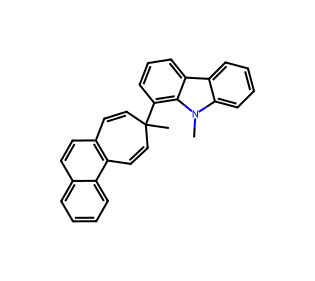 Cn1c2ccccc2c2cccc(C3(C)C=Cc4ccc5ccccc5c4C=C3)c21